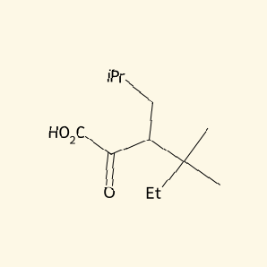 CCC(C)(C)C(CC(C)C)C(=O)C(=O)O